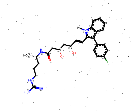 CC(C)n1c(/C=C/[C@H](O)C[C@H](O)CC(=O)N[C@H](CCCNC(=N)N)C(=O)O)c(-c2ccc(F)cc2)c2ccccc21